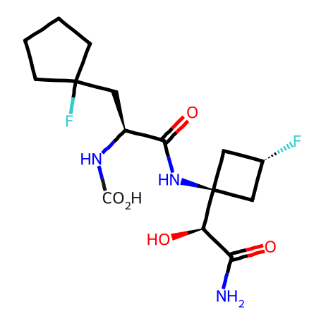 NC(=O)[C@@H](O)[C@]1(NC(=O)[C@H](CC2(F)CCCC2)NC(=O)O)C[C@H](F)C1